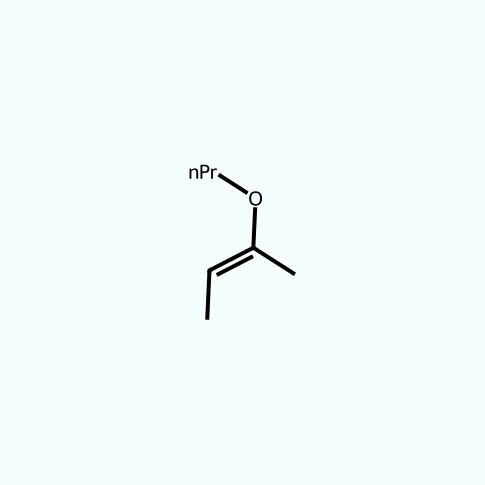 CC=C(C)OCCC